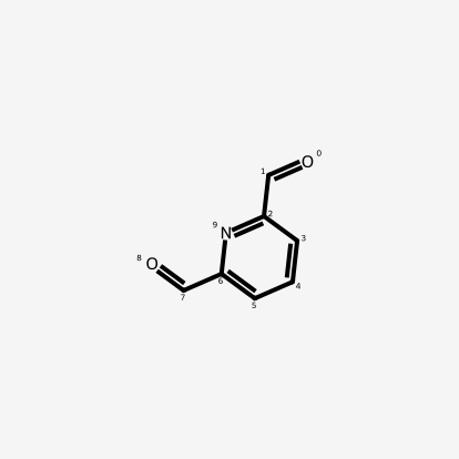 O=Cc1cccc(C=O)n1